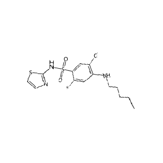 CCCCCNc1cc(F)c(S(=O)(=O)Nc2nccs2)cc1Cl